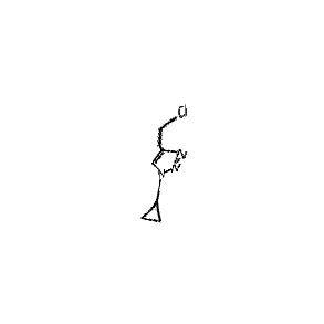 ClCc1cn(C2CC2)nn1